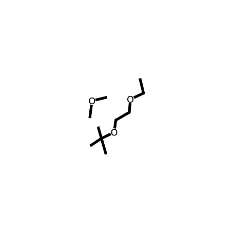 CCOCCOC(C)(C)C.COC